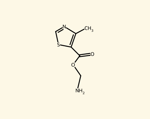 Cc1ncsc1C(=O)OCN